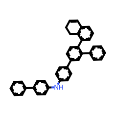 C1=Cc2cccc(-c3ccc(-c4ccc(Nc5ccc(-c6ccccc6)cc5)cc4)cc3-c3ccccc3)c2CC1